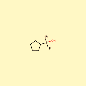 CCC[Si](O)(CCC)C1CCCC1